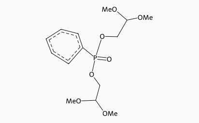 COC(COP(=O)(OCC(OC)OC)c1ccccc1)OC